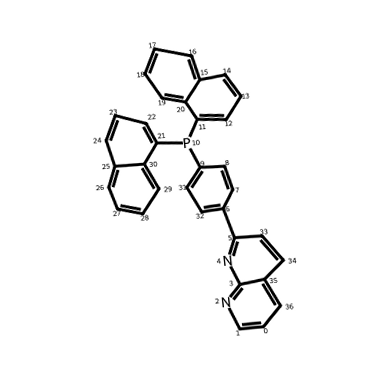 c1cnc2nc(-c3ccc(P(c4cccc5ccccc45)c4cccc5ccccc45)cc3)ccc2c1